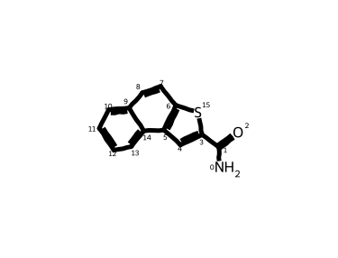 NC(=O)c1cc2c(ccc3ccccc32)s1